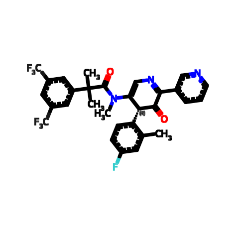 Cc1cc(F)ccc1[C@H]1C(=O)C(c2cccnc2)=NC=C1N(C)C(=O)C(C)(C)c1cc(C(F)(F)F)cc(C(F)(F)F)c1